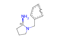 N[C@@H]1CCCN1Cc1ccccc1